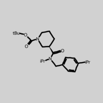 CC(C)c1ccc(CN(C(=O)[C@@H]2CCCN(C(=O)OC(C)(C)C)C2)C(C)C)cc1